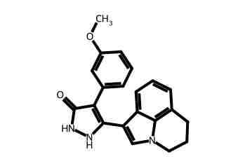 COc1cccc(-c2c(-c3cn4c5c(cccc35)CCC4)[nH][nH]c2=O)c1